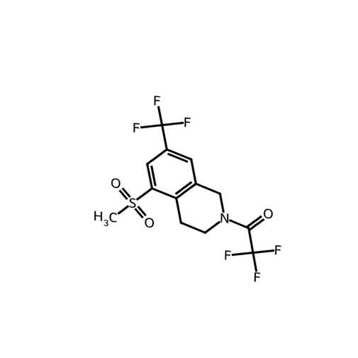 CS(=O)(=O)c1cc(C(F)(F)F)cc2c1CCN(C(=O)C(F)(F)F)C2